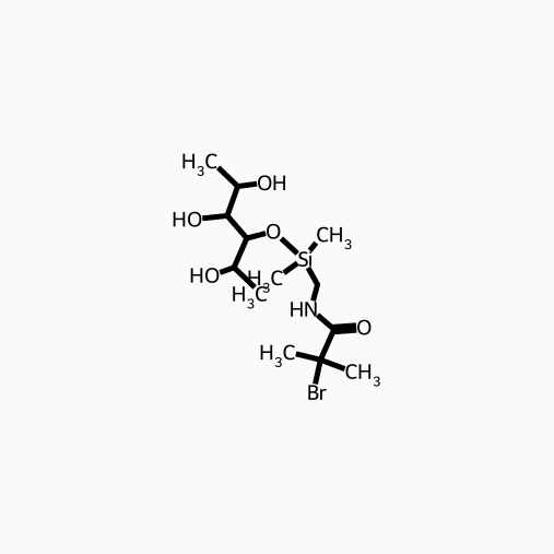 CC(O)C(O)C(O[Si](C)(C)CNC(=O)C(C)(C)Br)C(C)O